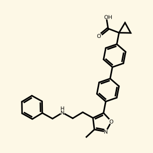 Cc1noc(-c2ccc(-c3ccc(C4(C(=O)O)CC4)cc3)cc2)c1CCNCc1ccccc1